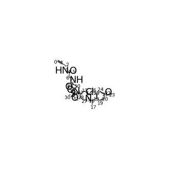 C#CCNC(=O)CNC(=O)CN(C1CCN(C(C)c2ccc(OC)cc2Cl)CC1)S(C)(=O)=O